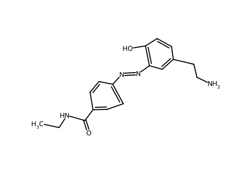 CCNC(=O)c1ccc(/N=N/c2cc(CCN)ccc2O)cc1